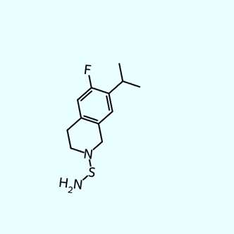 CC(C)c1cc2c(cc1F)CCN(SN)C2